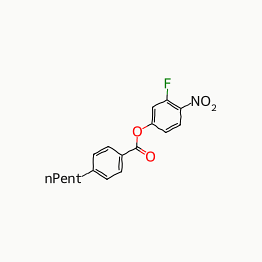 CCCCCc1ccc(C(=O)Oc2ccc([N+](=O)[O-])c(F)c2)cc1